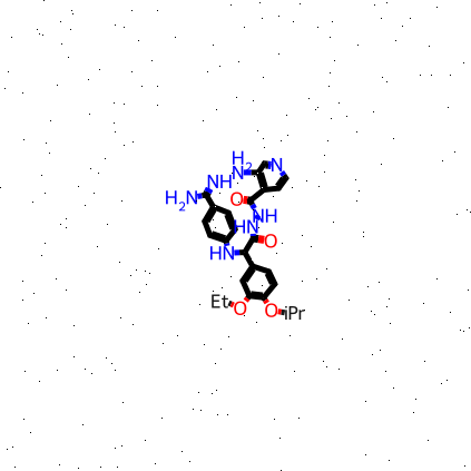 CCOc1cc(C(Nc2ccc(C(=N)N)cc2)C(=O)NNC(=O)c2ccncc2N)ccc1OC(C)C